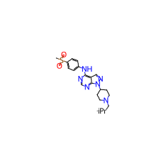 C[C](C)CN1CCC(n2ncc3c(Nc4ccc(S(C)(=O)=O)cc4)ncnc32)CC1